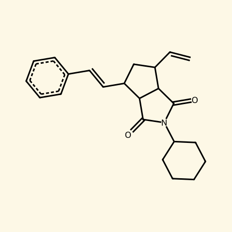 C=CC1CC(/C=C/c2ccccc2)C2C(=O)N(C3CCCCC3)C(=O)C12